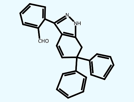 O=Cc1ccccc1-c1n[nH]c2c1C=CC(c1ccccc1)(c1ccccc1)C2